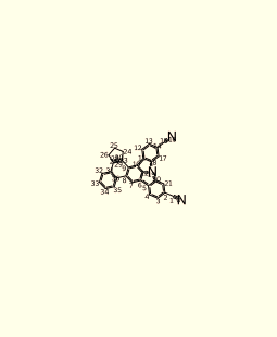 N#Cc1ccc2c3cc4c(c5c6ccc(C#N)cc6n(c2c1)c35)C12CCCC1(CCC2)c1ccccc1-4